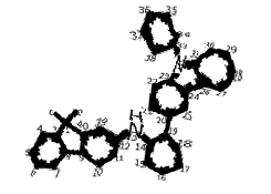 CC1(C)c2ccccc2-c2ccc(Nc3ccccc3-c3ccc4c(c3)c3ccccc3n4-c3ccccc3)cc21